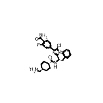 NC[C@H]1CC[C@H](C(=O)N[C@@H](Cc2ccccc2)c2nc(-c3ccc(C(N)=O)c(F)c3)c(Cl)[nH]2)CC1